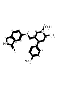 COc1ccc(C2CC(C)N(C(=O)O)CC2COc2ccc3c(c2)C(=O)NC3)cc1